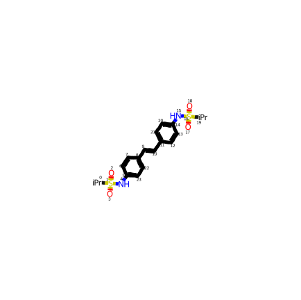 CC(C)S(=O)(=O)Nc1ccc(/C=C/c2ccc(NS(=O)(=O)C(C)C)cc2)cc1